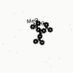 COc1cccc(N(c2ccccc2)c2ccc3c(c2)c2cc(N(c4ccccc4)c4cccc(OC)c4)ccc2n3-c2ccc(N(c3ccccc3)c3ccccc3)cc2)c1